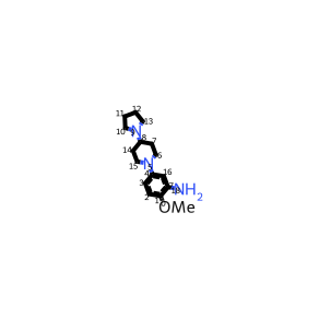 COc1ccc(N2CCC(N3CCCC3)CC2)cc1N